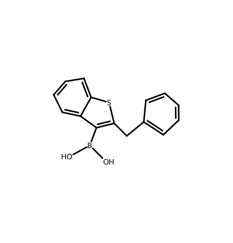 OB(O)c1c(Cc2ccccc2)sc2ccccc12